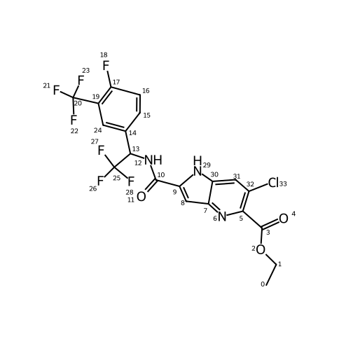 CCOC(=O)c1nc2cc(C(=O)NC(c3ccc(F)c(C(F)(F)F)c3)C(F)(F)F)[nH]c2cc1Cl